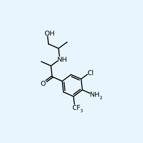 CC(CO)NC(C)C(=O)c1cc(Cl)c(N)c(C(F)(F)F)c1